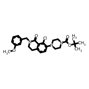 COc1cccc(CN2CCc3ccc(N4CCN(C(=O)OC(C)(C)C)CC4)c(Cl)c3C2=O)c1